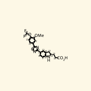 COc1cc(-c2nc(-c3ccc4c(c3)C[C@@H](CCC(=O)O)N4)no2)ccc1OC(F)F